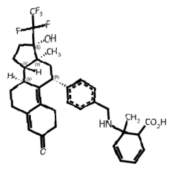 CC1(NCc2ccc([C@H]3C[C@@]4(C)[C@@H](CC[C@@]4(O)C(F)(F)C(F)(F)F)[C@@H]4CCC5=CC(=O)CCC5=C43)cc2)C=CC=CC1C(=O)O